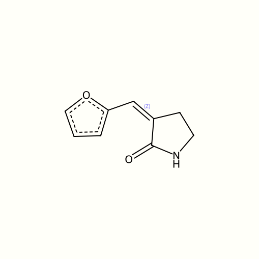 O=C1NCC/C1=C/c1ccco1